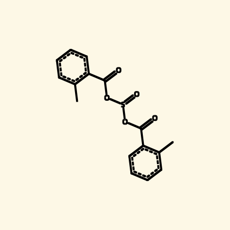 Cc1ccccc1C(=O)OS(=O)OC(=O)c1ccccc1C